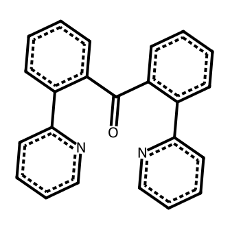 O=C(c1ccccc1-c1ccccn1)c1ccccc1-c1ccccn1